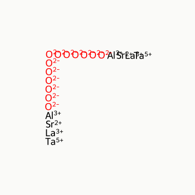 [Al+3].[Al+3].[La+3].[La+3].[O-2].[O-2].[O-2].[O-2].[O-2].[O-2].[O-2].[O-2].[O-2].[O-2].[O-2].[O-2].[O-2].[Sr+2].[Sr+2].[Ta+5].[Ta+5]